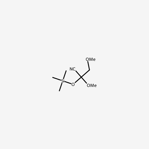 COCC(C#N)(OC)O[Si](C)(C)C